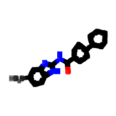 O=C(Nc1nc2cc(S(=O)(=O)O)ccc2[nH]1)c1ccc(-c2ccccc2)cc1